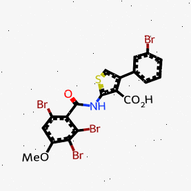 COc1cc(Br)c(C(=O)Nc2scc(-c3cccc(Br)c3)c2C(=O)O)c(Br)c1Br